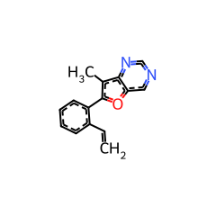 C=Cc1ccccc1-c1oc2cncnc2c1C